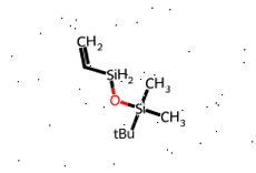 C=C[SiH2]O[Si](C)(C)C(C)(C)C